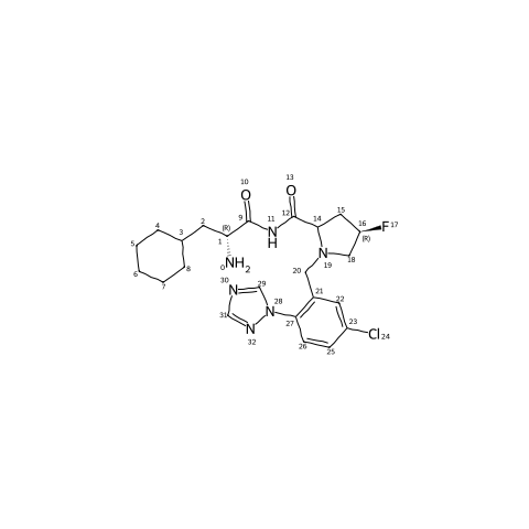 N[C@H](CC1CCCCC1)C(=O)NC(=O)C1C[C@@H](F)CN1Cc1cc(Cl)ccc1-n1cncn1